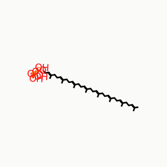 CC(C)=CCC/C(C)=C/CC/C(C)=C/CC/C(C)=C/CC/C(C)=C/CC/C(C)=C/CC/C(C)=C/CC/C(C)=C/COP(=O)(O)OP(=O)(O)O